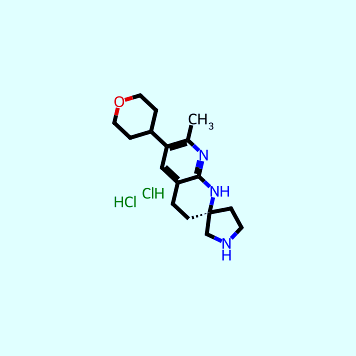 Cc1nc2c(cc1C1CCOCC1)CC[C@@]1(CCNC1)N2.Cl.Cl